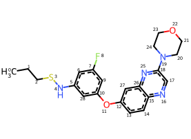 CCCSNc1cc(F)cc(Oc2ccc3ncc(N4CCOCC4)nc3c2)c1